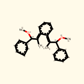 CC(=c1ccccc1=C(C)C(OC#N)c1ccccc1)C(OC#N)c1ccccc1